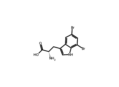 N[C@@H](Cc1c[nH]c2c(Br)cc(Br)cc12)C(=O)O